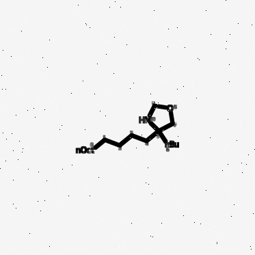 CCCCCCCCCCCCC1(CCCC)COCN1